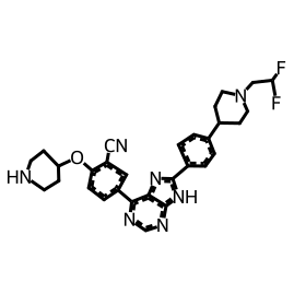 N#Cc1cc(-c2ncnc3[nH]c(-c4ccc(C5CCN(CC(F)F)CC5)cc4)nc23)ccc1OC1CCNCC1